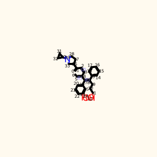 C=C(\C=C/C(=C\C)C(=C(/CCCO)c1ccccc1)/c1cccc(O)c1)C1CCN(C2CC2)C1